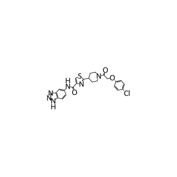 O=C(Nc1ccc2[nH]nnc2c1)c1csc(C2CCN(C(=O)COc3ccc(Cl)cc3)CC2)n1